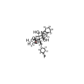 CO[PH](=O)C(C#Cc1ccc(F)cc1)(C(=O)O)C(O)(CC(C)C)c1ccc2ccccc2n1